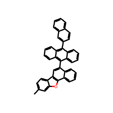 Cc1ccc2c(c1)oc1c3ccccc3c(-c3c4ccccc4c(-c4ccc5ccccc5c4)c4ccccc34)cc21